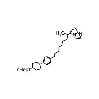 CCCCCCC[C@H]1CC[C@H](c2ccc(CCCCCCCC(C)c3csc4nccn34)cc2)CC1